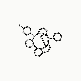 Fc1ccc(-n2c3ccccc3c3cccc4ccc5c(oc6c2cccc6n5-c2ccccc2)c43)cc1